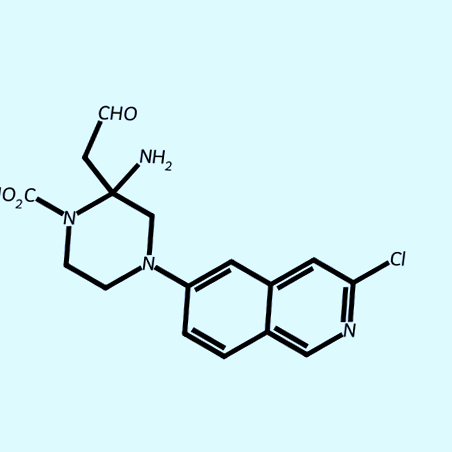 NC1(CC=O)CN(c2ccc3cnc(Cl)cc3c2)CCN1C(=O)O